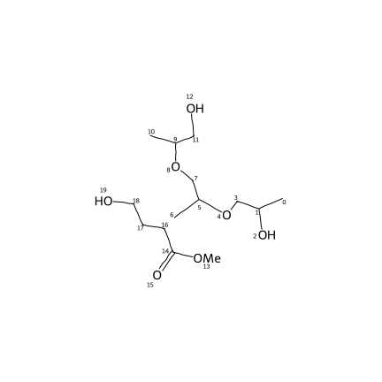 CC(O)COC(C)COC(C)CO.COC(=O)CCCO